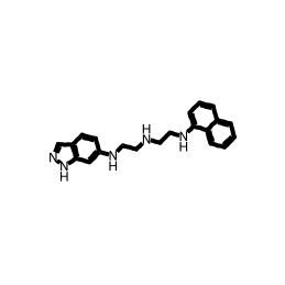 c1ccc2c(NCCNCCNc3ccc4cn[nH]c4c3)cccc2c1